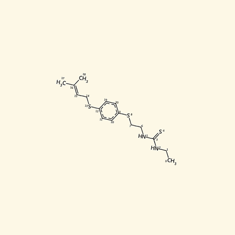 CCNC(=S)NCCSc1ccc(SCC=C(C)C)cc1